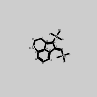 C[Si](C)(C)/C=C1/C([Si](C)(C)C)=C2CCOc3cccc1c32